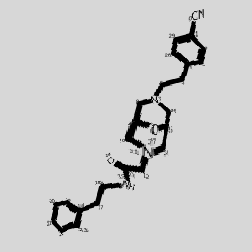 N#Cc1ccc(CCN2CC3CN(CC(=O)NCCc4ccccc4)CC(C2)O3)cc1